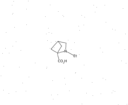 CCN1CC2CC1(C(=O)O)C2